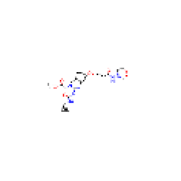 CCNC(=O)NC1=Nc2cc(OCCCC(=O)NN3CCOCC3)ccc2CN1CC(=O)OC